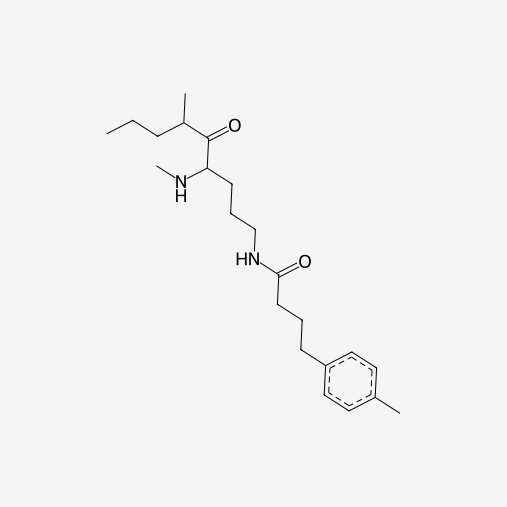 CCCC(C)C(=O)C(CCCNC(=O)CCCc1ccc(C)cc1)NC